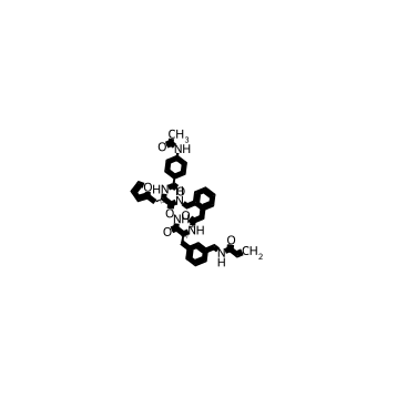 C=CC(=O)NCc1cccc(C[C@H](NC(=O)Cc2ccccc2CNC(=O)[C@H](Cc2ccco2)NC(=O)[C@H]2CC[C@@H](NC(C)=O)CC2)C(N)=O)c1